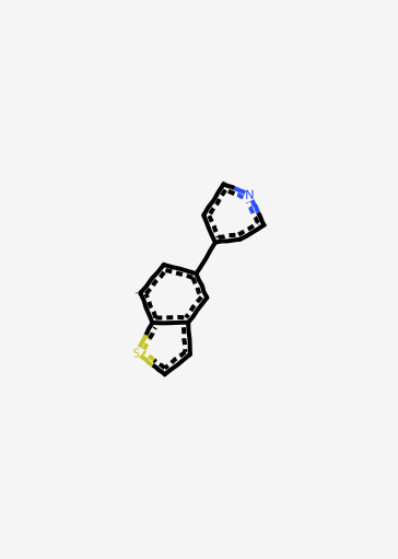 [c]1cc(-c2ccncc2)cc2ccsc12